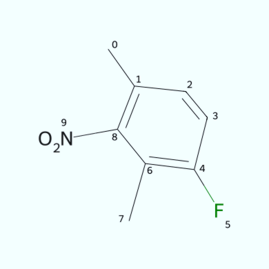 Cc1ccc(F)c(C)c1[N+](=O)[O-]